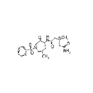 CC1CC(NC(=O)C[C@@H](C)CC(N)=O)C(=O)CN(S(=O)(=O)c2ccccn2)C1